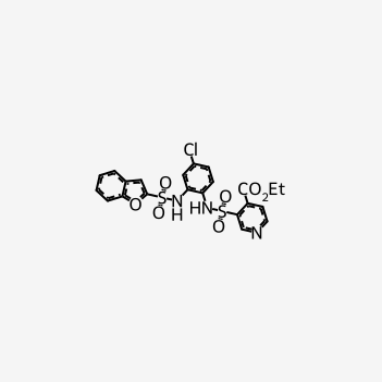 CCOC(=O)c1ccncc1S(=O)(=O)Nc1ccc(Cl)cc1NS(=O)(=O)c1cc2ccccc2o1